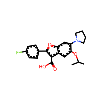 CC(C)Oc1cc2c(C(=O)O)c(-c3ccc(F)cc3)oc2cc1N1CCCC1